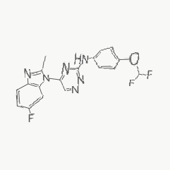 Cc1nc2ccc(F)cc2n1-c1cnnc(Nc2ccc(OC(F)F)cc2)n1